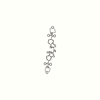 O=S(=O)(c1ccc2nc(N=c3[nH]c4ccc(S(=O)(=O)N5CCOCC5)cc4s3)sc2c1)N1CCOCC1